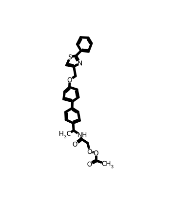 CC(=O)OOCC(=O)NC(C)c1ccc(-c2ccc(OCc3csc(-c4ccccc4)n3)cc2)cc1